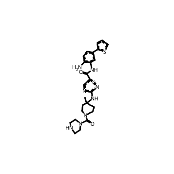 CC1(Nc2ncc(C(=O)Nc3cc(-c4cccs4)ccc3N)cn2)CCN(C(=O)N2CCNCC2)CC1